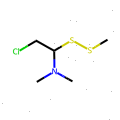 CSSC(CCl)N(C)C